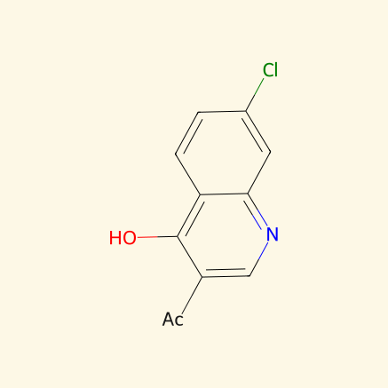 CC(=O)c1cnc2cc(Cl)ccc2c1O